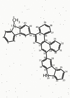 Cn1c2ccccc2c2cc(-c3cc4cc(-c5ccc6[nH]c7ccccc7c6c5)c5ccccc5c4c4ccccc34)ccc21